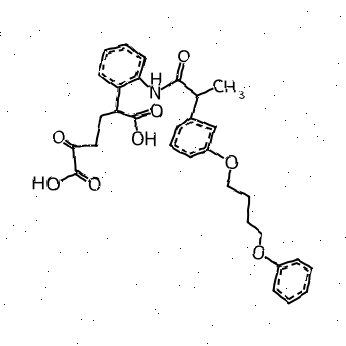 CC(C(=O)Nc1ccccc1C(CCC(=O)C(=O)O)C(=O)O)c1cccc(OCCCCOc2ccccc2)c1